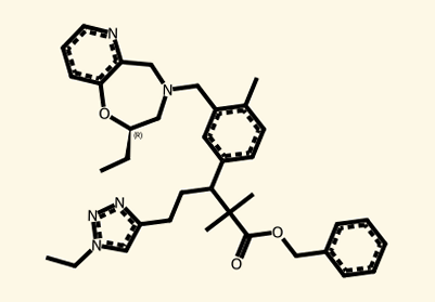 CC[C@@H]1CN(Cc2cc(C(CCc3cn(CC)nn3)C(C)(C)C(=O)OCc3ccccc3)ccc2C)Cc2ncccc2O1